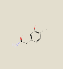 COc1ccc(CC(N)=O)cc1O